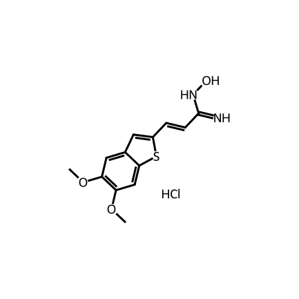 COc1cc2cc(C=CC(=N)NO)sc2cc1OC.Cl